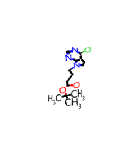 CC(C)(C)OC(=O)CCCn1ccc2c(Cl)ncnc21